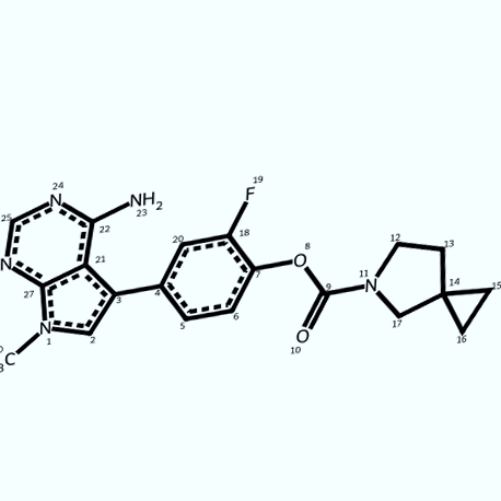 Cn1cc(-c2ccc(OC(=O)N3CCC4(CC4)C3)c(F)c2)c2c(N)ncnc21